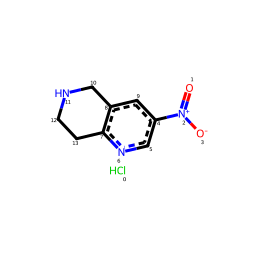 Cl.O=[N+]([O-])c1cnc2c(c1)CNCC2